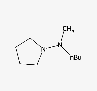 CCCCN(C)N1CCCC1